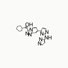 Cn1nccc1Nc1nccc(-c2ccn3c([C@@H](O)C4CCCCC4)nnc3c2)n1